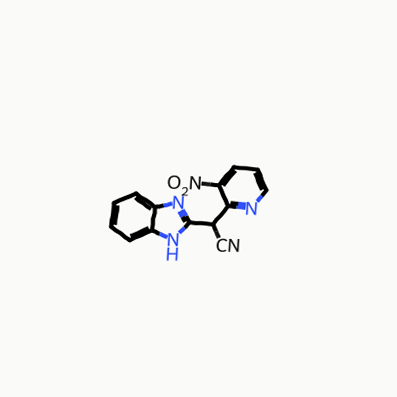 N#CC(c1nc2ccccc2[nH]1)c1ncccc1[N+](=O)[O-]